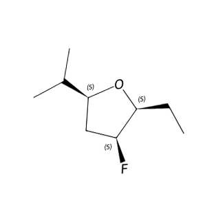 CC[C@@H]1O[C@H](C(C)C)C[C@@H]1F